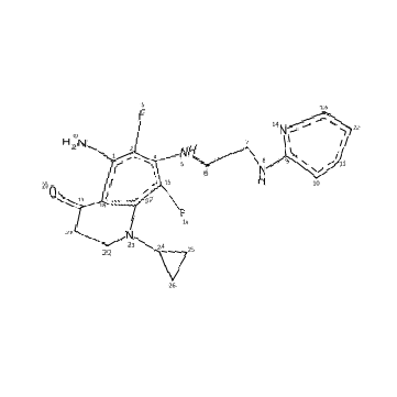 Nc1c(F)c(NCCNc2ccccn2)c(F)c2c1C(=O)CCN2C1CC1